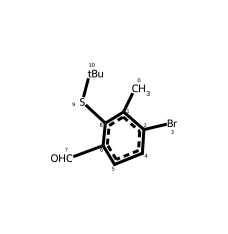 Cc1c(Br)ccc(C=O)c1SC(C)(C)C